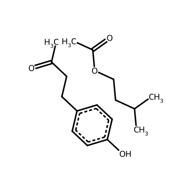 CC(=O)CCc1ccc(O)cc1.CC(=O)OCCC(C)C